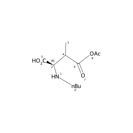 CCCCN[C@@H](C(=O)O)C(C)C(=O)OC(C)=O